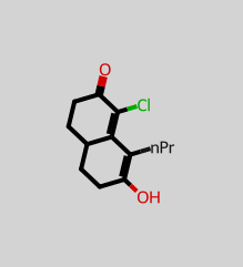 CCCC1=C(O)CCC2CCC(=O)C(Cl)=C12